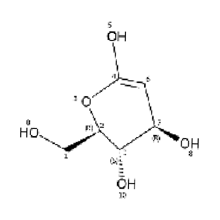 OC[C@H]1OC(O)=C[C@@H](O)[C@@H]1O